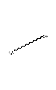 CCCCCCCCCCCCC=CC=CO